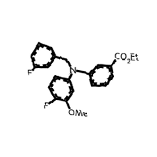 CCOC(=O)c1cccc(N(Cc2cccc(F)c2)c2ccc(F)c(OC)c2)c1